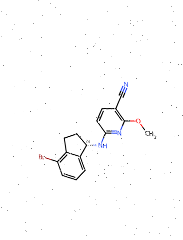 COc1nc(N[C@H]2CCc3c(Br)cccc32)ccc1C#N